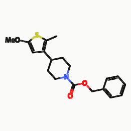 COc1cc(C2CCN(C(=O)OCc3ccccc3)CC2)c(C)s1